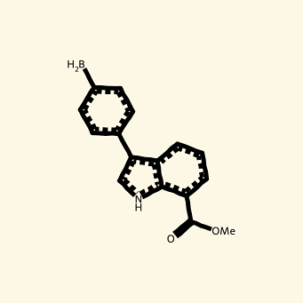 Bc1ccc(-c2c[nH]c3c(C(=O)OC)cccc23)cc1